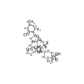 Cc1cc(F)c(C(=O)CN(C[C@]2(C)CCCO2)C(=O)c2cnn(C3CCC(C)(C(=O)O)CC3)c2C(F)(F)F)c(Cl)c1